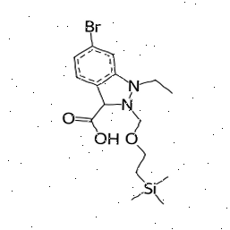 CCN1c2cc(Br)ccc2C(C(=O)O)N1COCC[Si](C)(C)C